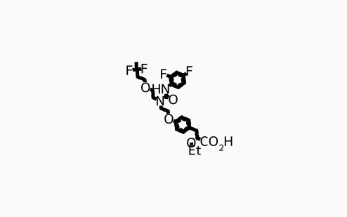 CCOC(Cc1ccc(OCCN(CCOCCC(C)(F)F)C(=O)Nc2ccc(F)cc2F)cc1)C(=O)O